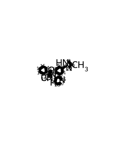 Cc1c[nH]c(-c2ccc(NS(=O)(=O)c3ccccc3C)cc2)n1.c1ccncc1